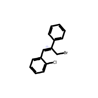 Clc1ccccc1/C=C(\CBr)c1ccccc1